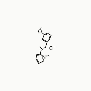 COc1cccc(CSc2cccc[n+]2C)c1.[Cl-]